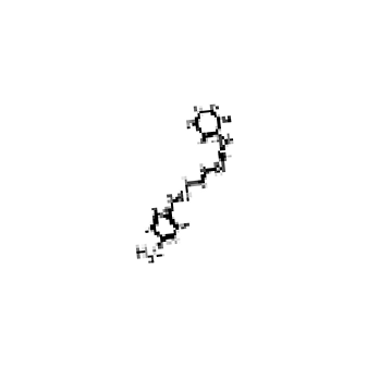 Cc1ccc(COCCCN=C=NC2CCCCC2)cc1